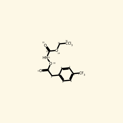 O=C(Cc1ccc(C(F)(F)F)cc1)ONC(=O)OCC(Cl)(Cl)Cl